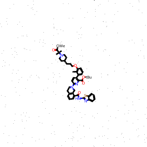 COC(=O)C(C)(C)N1CCC(CCCOc2cccc(-c3ccc(N4CCc5cccc(C(=O)Nc6nc7ccccc7s6)c5C4)nc3C(=O)OC(C)(C)C)c2C)CC1